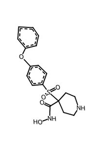 O=C(NO)C1(S(=O)(=O)c2ccc(Oc3ccccc3)cc2)CCNCC1